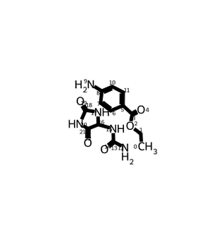 CCOC(=O)c1ccc(N)cc1.NC(=O)NC1NC(=O)NC1=O